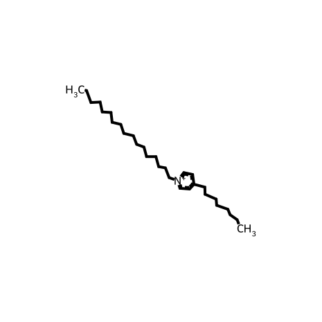 CCCCCCCCCCCCCCCCC[n+]1ccc(CCCCCCCC)cc1